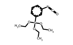 CCO[Si](OCC)(OCC)c1cccc(N=C=O)c1